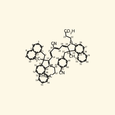 CC1(Cc2cccc3ccccc23)C(/C=C/C(C#N)=C/C=C2/N(CCC(=O)O)c3ccc4ccccc4c3C2(C)Cc2ccc(C#N)cc2)=[N+](CCC(=O)O)c2c1ccc1ccccc21